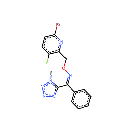 Cn1nnnc1C(=NOCc1nc(Br)ccc1F)c1ccccc1